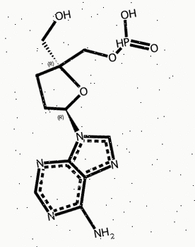 Nc1ncnc2c1ncn2[C@H]1CC[C@@](CO)(CO[PH](=O)O)O1